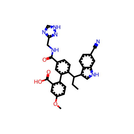 CCC(c1ccc(C(=O)NCc2nc[nH]n2)cc1-c1ccc(OC)cc1C(=O)O)c1c[nH]c2cc(C#N)ccc12